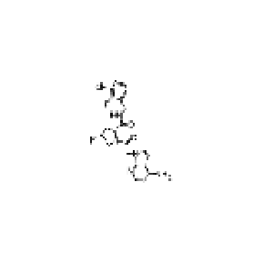 Nc1ccnc2c1ccn2CC(=O)N1C[C@H](F)C[C@H]1C(=O)NCc1cccc(Cl)c1F